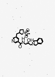 CS(=O)(=O)N1CCC(Cc2cncc(C(=O)NC[C@H](O)CN3Cc4ccccc4C3)c2)C1